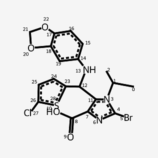 CC(C)n1c(Br)nc(C(=O)O)c1C(Nc1ccc2c(c1)OCO2)c1ccc(Cl)s1